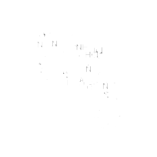 CCc1ccc(-c2noc(C)n2)cc1NCC(=O)N(CCNC(C)C)CC(=O)N(C)N1Cc2ccccc2C1.Cl.Cl